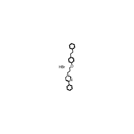 Br.C1=NC(c2ccccc2)=CCN1CCCOc1ccc(CCc2ccccc2)cc1